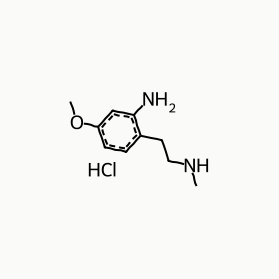 CNCCc1ccc(OC)cc1N.Cl